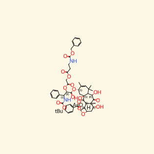 CC(=O)O[C@@]12COC1C[C@H](O)[C@@]1(C)C(=O)[C@H](O)C3C(C)(C)C=C(C)[C@@H](OC(=O)[C@H](OC(=O)COC(=O)CCNC(=O)OCc4ccccc4)[C@@H](NC(=O)OC(C)(C)C)c4ccccc4)C[C@@]3(O)[C@@H](OC(=O)c3ccccc3)[C@@H]12